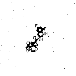 N#Cc1cnn2c1-c1cc(C(=O)NC(CN)Cc3cc(F)cc(F)c3)sc1OCC2